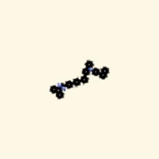 c1cc(-c2ccc(-c3ccc(-c4cnc5c6ccccc6c6ccccc6c5n4)cc3)cc2)cc(-c2ccc3c4ccccc4n(-c4ccc(-c5cccc6ccccc56)cc4)c3c2)c1